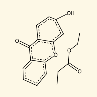 CCOC(=O)CC.O=c1c2ccccc2oc2cc(O)ccc12